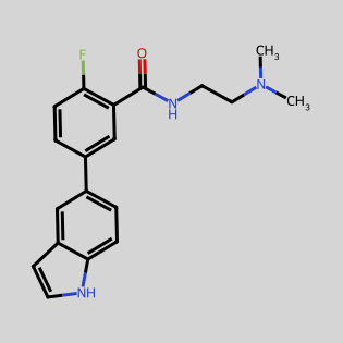 CN(C)CCNC(=O)c1cc(-c2ccc3[nH]ccc3c2)ccc1F